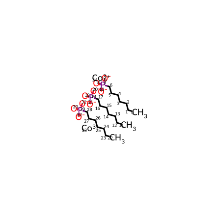 CCCCCCCP(=O)([O-])[O-].CCCCCCCP(=O)([O-])[O-].CCCCCCCP(=O)([O-])[O-].[Co+3].[Co+3]